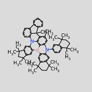 Cc1cc2c3c4c1C1(C)c5ccccc5-c5cccc(c51)N4c1cc4c(cc1B3c1cc3c(cc1N2c1ccc2c(c1)C(C)(C)CCC2(C)C)C(C)(C)CCC3(C)C)C(C)(C)CC4(C)C